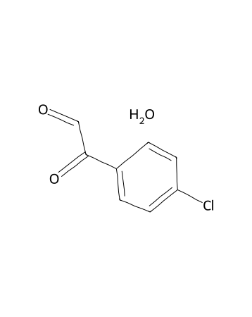 O.O=CC(=O)c1ccc(Cl)cc1